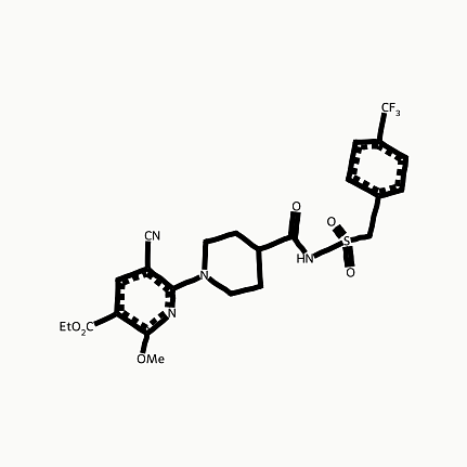 CCOC(=O)c1cc(C#N)c(N2CCC(C(=O)NS(=O)(=O)Cc3ccc(C(F)(F)F)cc3)CC2)nc1OC